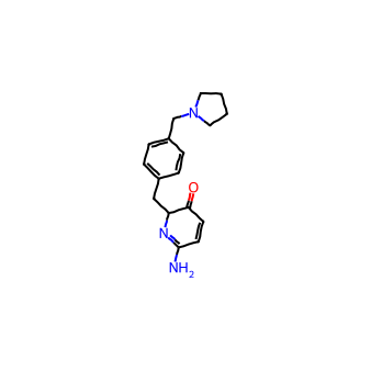 NC1=NC(Cc2ccc(CN3CCCC3)cc2)C(=O)C=C1